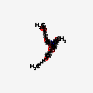 C=CCCCCCCOc1ccc(CCC(=O)Oc2ccc3c(c2)c(Oc2ccc(OCCCCCCOC(=O)C=C)cc2)nc2cc(OC)ccc23)cc1